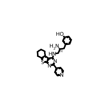 N[C@H](CNc1nc(-c2ccncc2)nc2sc3c(c12)CCCC3)Cc1cccc(O)c1